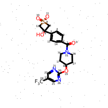 O=C(c1ccc(C2(O)CS(=O)(=O)C2)cc1)N1CCC(Oc2ncc(C(F)(F)F)cn2)CC1